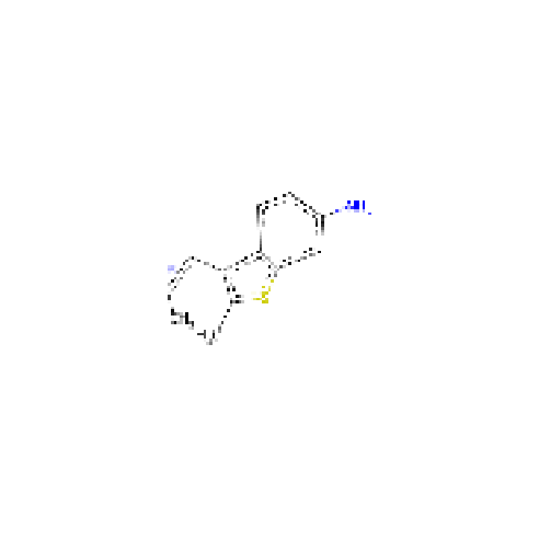 C/C=C\c1c(C)sc2cc(N)ccc12